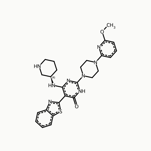 COc1cccc(N2CCN(c3nc(N[C@@H]4CCCNC4)c(-c4nc5ccccc5s4)c(=O)[nH]3)CC2)n1